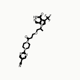 CC(COCCC(=O)N1CCN(c2ncc(C#N)cn2)CC1)n1cc(C(F)(F)F)c2c(=O)[nH]ncc21